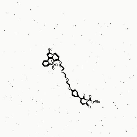 CC(=O)c1cc(-c2ccccc2S(C)(=O)=O)c2cc(OCCOCCOCCOc3ccc(C4CCC(=O)N(C(=O)OC(C)(C)C)C4=O)cc3)ccn12